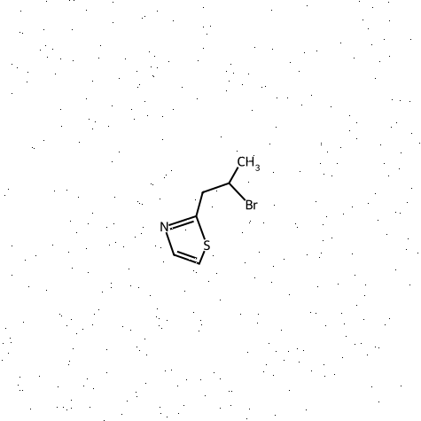 CC(Br)Cc1nccs1